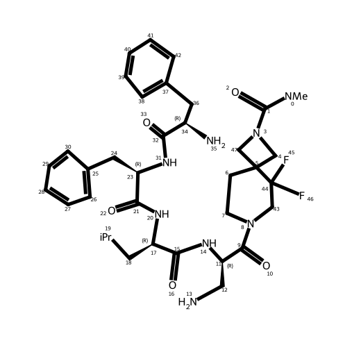 CNC(=O)N1CC2(CCN(C(=O)[C@@H](CN)NC(=O)[C@@H](CC(C)C)NC(=O)[C@@H](Cc3ccccc3)NC(=O)[C@H](N)Cc3ccccc3)CC2(F)F)C1